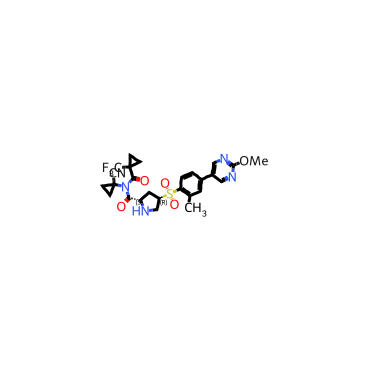 COc1ncc(-c2ccc(S(=O)(=O)[C@H]3CN[C@H](C(=O)N(C(=O)C4(C(F)(F)F)CC4)C4(C#N)CC4)C3)c(C)c2)cn1